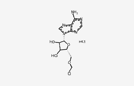 Cl.Nc1ncnc2c1ncn2[C@@H]1O[C@H](COCCl)C(O)C1O